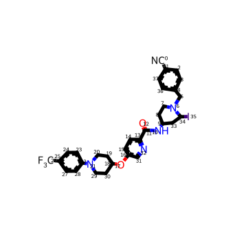 N#Cc1ccc(CN2CCC(NC(=O)c3ccc(OC4CCN(c5ccc(C(F)(F)F)cc5)CC4)cn3)CC2I)cc1